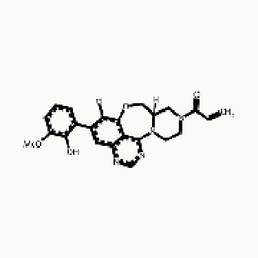 C=CC(=O)N1CCN2c3ncnc4cc(-c5cccc(OC)c5O)c(Cl)c(c34)OC[C@@H]2C1